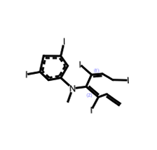 C=C/C(I)=C(\C(I)=C/CI)N(C)c1cc(I)cc(I)c1